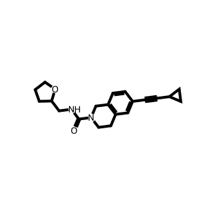 O=C(NCC1CCCO1)N1CCc2cc(C#CC3CC3)ccc2C1